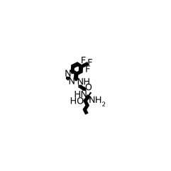 CCC[C@H](O)[C@@](C)(N)NC(=O)CNc1ncnc2ccc(C(F)(F)F)cc12